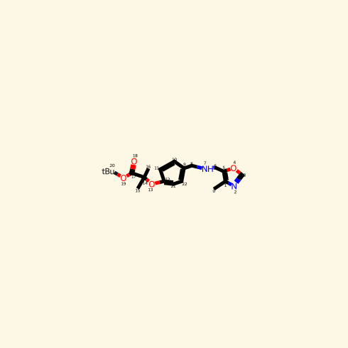 Cc1ncoc1CNCc1ccc(OC(C)(C)C(=O)OC(C)(C)C)cc1